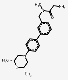 C[C@@H]1CN(c2ccc(-c3cccc(CN(C)C(=O)CN)c3)cc2)C[C@H](C)O1